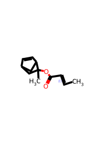 C/C=C/C(=O)OC1(C)CC2C=CC1C2